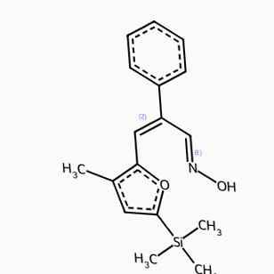 Cc1cc([Si](C)(C)C)oc1/C=C(\C=N\O)c1ccccc1